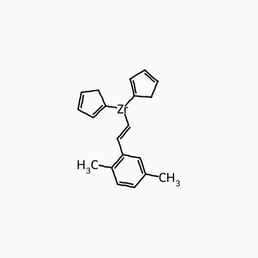 Cc1ccc(C)c(/C=[CH]/[Zr]([C]2=CC=CC2)[C]2=CC=CC2)c1